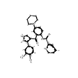 O=C(Nc1ccc(N2CCCCC2)cc1C(=O)c1c[nH]nc1-c1ccc(Cl)c(C(F)(F)F)c1)c1ccccn1